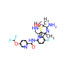 CC1(C)C(N)=N[C@](C)(c2nc(NC(=O)c3ccc(OC(F)F)cn3)ccc2F)[C@H]2CCNS21O